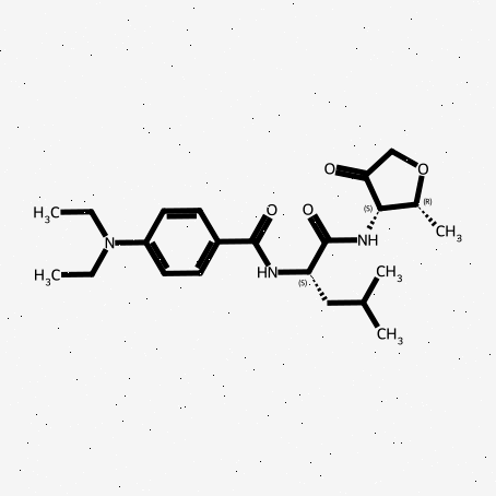 CCN(CC)c1ccc(C(=O)N[C@@H](CC(C)C)C(=O)N[C@@H]2C(=O)CO[C@@H]2C)cc1